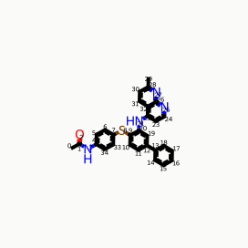 CC(=O)Nc1ccc(Sc2ccc(-c3ccccc3)cc2Nc2ccnc3nc(C)ccc23)cc1